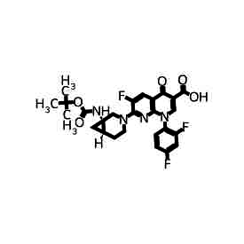 CC(C)(C)OC(=O)N[C@@]12C[C@@H]1CCN(c1nc3c(cc1F)c(=O)c(C(=O)O)cn3-c1ccc(F)cc1F)C2